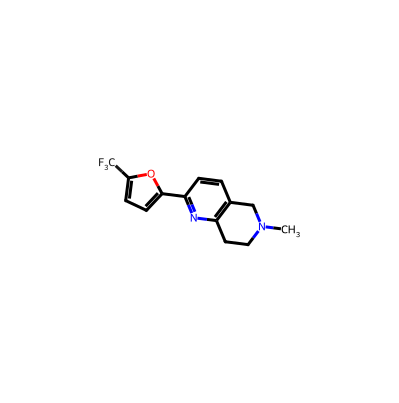 CN1CCc2nc(-c3ccc(C(F)(F)F)o3)ccc2C1